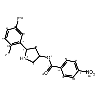 O=C(OC1CNC(c2cc(F)ccc2F)C1)c1ccc([N+](=O)[O-])cc1